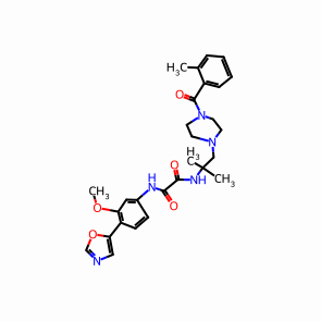 COc1cc(NC(=O)C(=O)NC(C)(C)CN2CCN(C(=O)c3ccccc3C)CC2)ccc1-c1cnco1